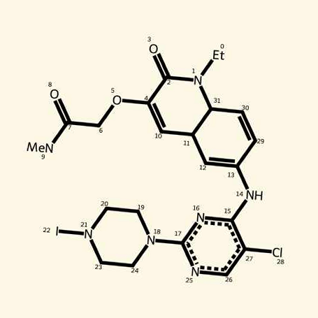 CCN1C(=O)C(OCC(=O)NC)=CC2C=C(Nc3nc(N4CCN(I)CC4)ncc3Cl)C=CC21